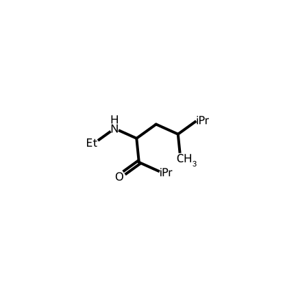 CCNC(CC(C)C(C)C)C(=O)C(C)C